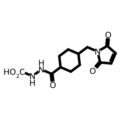 O=C(O)NNC(=O)C1CCC(CN2C(=O)C=CC2=O)CC1